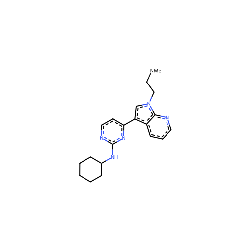 CNCCn1cc(-c2ccnc(NC3CCCCC3)n2)c2cccnc21